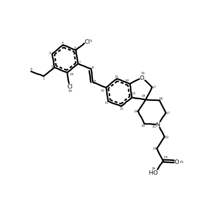 CCc1ccc(Cl)c(C=Cc2ccc3c(c2)OCC32CCN(CCC(=O)O)CC2)c1Cl